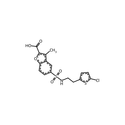 Cc1c(C(=O)O)oc2ccc(S(=O)(=O)NCCc3ccc(Cl)s3)cc12